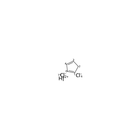 C1=CCC=C1.[Cl-].[Cl-].[Hf+2]